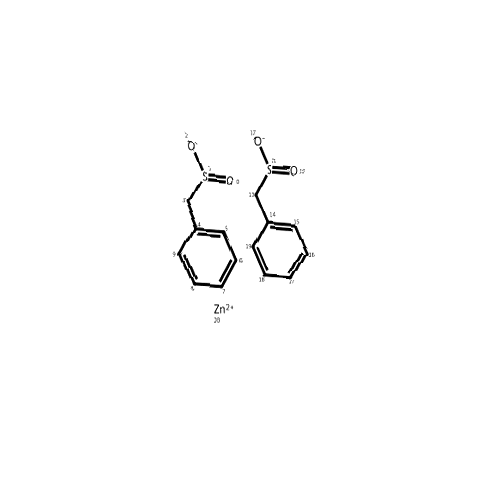 O=S([O-])Cc1ccccc1.O=S([O-])Cc1ccccc1.[Zn+2]